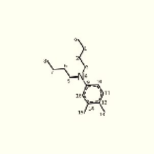 CCCCN(CCCC)c1ccc(C)c(C)c1